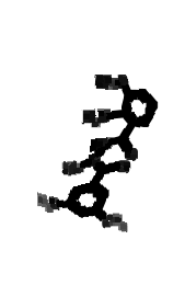 COc1cccc(C(=O)NN(C(=O)c2cc(C)cc(C)c2)C(C)(C)C)c1N